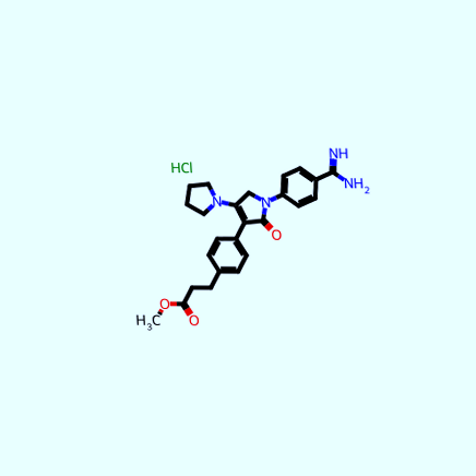 COC(=O)CCc1ccc(C2=C(N3CCCC3)CN(c3ccc(C(=N)N)cc3)C2=O)cc1.Cl